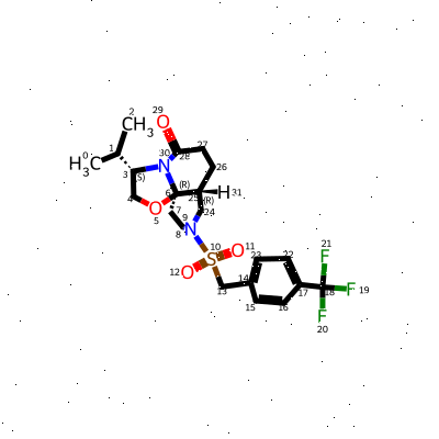 CC(C)[C@H]1CO[C@]23CCN(S(=O)(=O)Cc4ccc(C(F)(F)F)cc4)C[C@H]2CCC(=O)N13